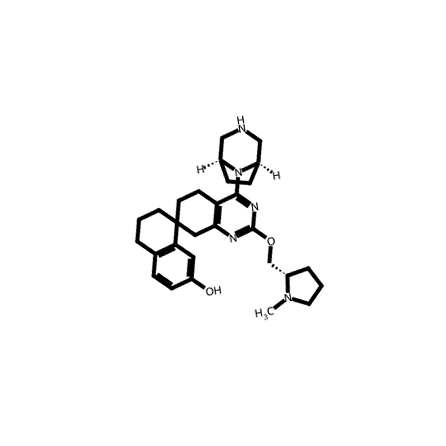 CN1CCC[C@H]1COc1nc2c(c(N3[C@@H]4CC[C@H]3CNC4)n1)CCC1(CCCc3ccc(O)cc31)C2